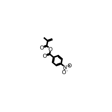 C=C(C)C(=O)OC(=O)c1ccc([N+](=O)[O-])cc1